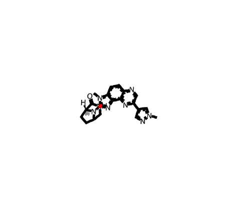 Cn1cc(-c2cnc3ccc4c(nc(N5C6CC[C@@H]5C(=O)NC6)n4C)c3n2)cn1